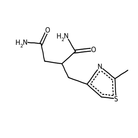 Cc1nc(CC(CC(N)=O)C(N)=O)cs1